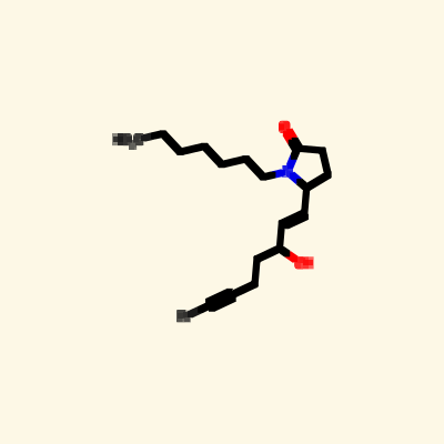 CCC#CCCC(O)/C=C/C1CCC(=O)N1CCCCCCC(=O)O